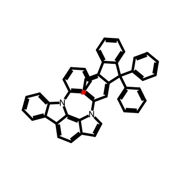 c1ccc(-n2c3ccccc3c3ccc4ccn(-c5ccc6c(c5)C(c5ccccc5)(c5ccccc5)c5ccccc5-6)c4c32)cc1